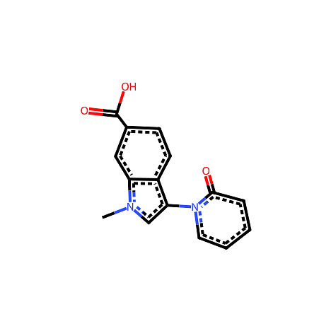 Cn1cc(-n2ccccc2=O)c2ccc(C(=O)O)cc21